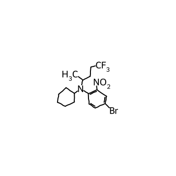 CC(CCC(F)(F)F)N(c1ccc(Br)cc1[N+](=O)[O-])C1CCCCC1